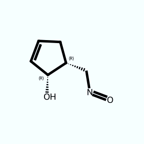 O=NC[C@H]1CC=C[C@H]1O